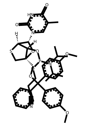 COc1ccc(C(OC[C@@]23CS[C@@H]([C@H](n4cc(C)c(=O)[nH]c4=O)O2)[C@@H]3OP(OCCC#N)N(C(C)C)C(C)C)(c2ccccc2)c2ccc(OC)cc2)cc1